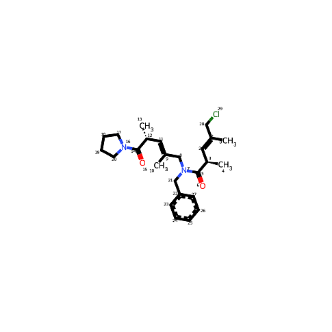 C/C(=C\[C@@H](C)C(=O)N(C/C(C)=C/[C@@H](C)C(=O)N1CCCC1)Cc1ccccc1)CCl